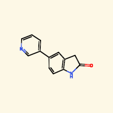 O=C1Cc2cc(-c3cccnc3)ccc2N1